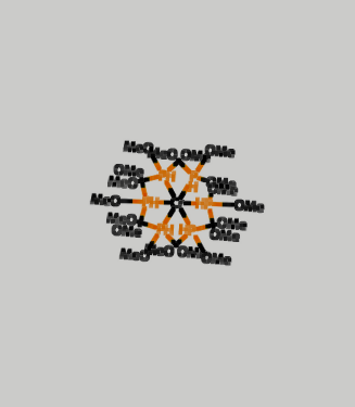 CO[PH](OC)(OC)[Cr]([PH](OC)(OC)OC)([PH](OC)(OC)OC)([PH](OC)(OC)OC)([PH](OC)(OC)OC)[PH](OC)(OC)OC